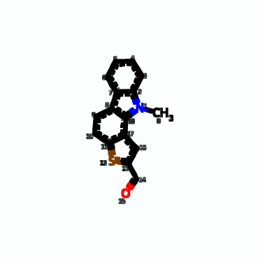 Cn1c2ccccc2c2ccc3sc(C=O)cc3c21